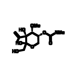 C=C(C)[C@@]1(O)[C@H](OC)[C@H](OC(=O)NC)CO[C@]1(O)CO